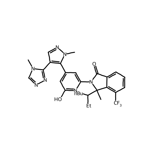 CCCCC(CC)C1(C)c2c(cccc2C(F)(F)F)C(=O)N1c1cc(-c2c(-c3nncn3C)cnn2C)cc(O)n1